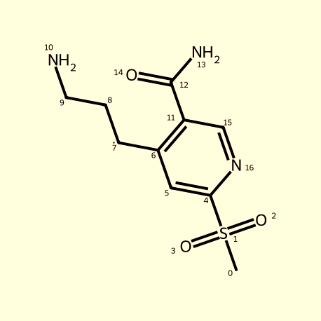 CS(=O)(=O)c1cc([CH]CCN)c(C(N)=O)cn1